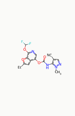 CCc1cc2c(OC(=O)Nc3c(C#N)cnn3C)cnc(OC(F)F)c2o1